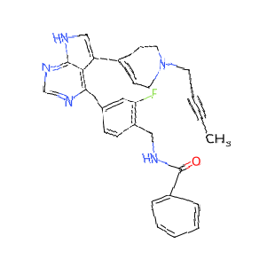 CC#CCN1CC=C(c2c[nH]c3ncnc(-c4ccc(CNC(=O)c5ccccc5)c(F)c4)c23)CC1